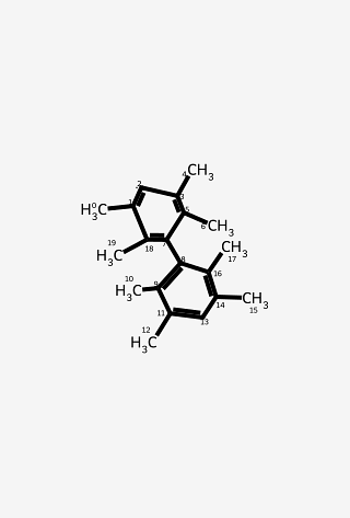 Cc1[c]c(C)c(C)c(-c2c(C)c(C)cc(C)c2C)c1C